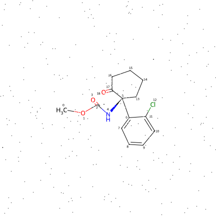 COC(=O)N[C@]1(c2ccccc2Cl)CCCCC1=O